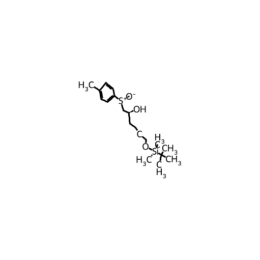 Cc1ccc([S@@+]([O-])C[C@@H](O)CCCCO[Si](C)(C)C(C)(C)C)cc1